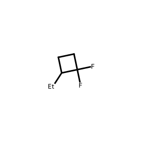 CCC1CCC1(F)F